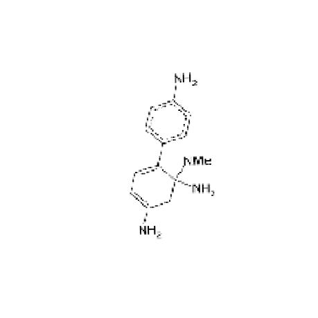 CNC1(N)CC(N)=CC=C1c1ccc(N)cc1